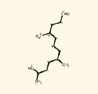 CC(O)CCC(C)CCCC(C)CCC=O